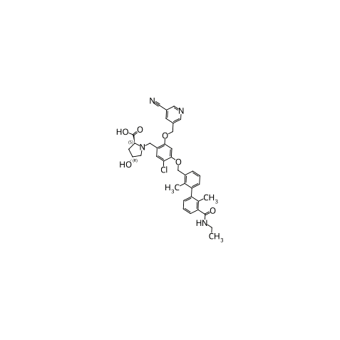 CCNC(=O)c1cccc(-c2cccc(COc3cc(OCc4cncc(C#N)c4)c(CN4C[C@H](O)C[C@H]4C(=O)O)cc3Cl)c2C)c1C